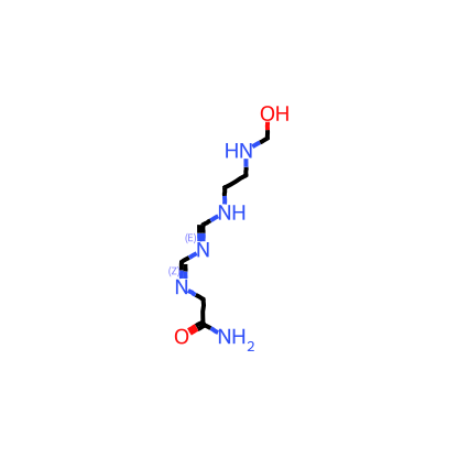 NC(=O)C/N=C\N=C\NCCNCO